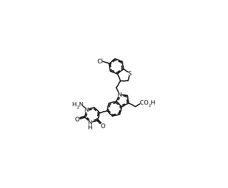 Nn1cc(-c2ccc3c(CC(=O)O)cn(CC4CSc5ccc(Cl)cc54)c3c2)c(=O)[nH]c1=O